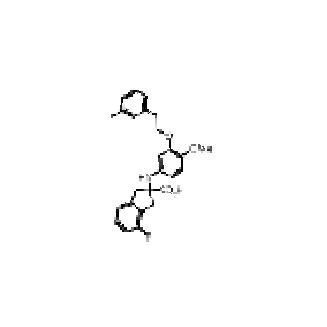 COc1ccc(NC2(C(=O)O)Cc3cccc(F)c3C2)cc1OCCc1cccc(C)c1